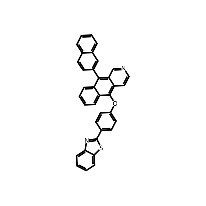 c1ccc2cc(-c3c4ccccc4c(Oc4ccc(-c5nc6ccccc6s5)cc4)c4ccncc34)ccc2c1